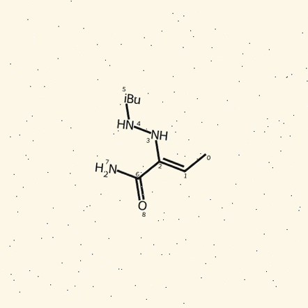 C/C=C(\NNC(C)CC)C(N)=O